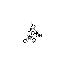 O=C(O)c1cc(S(=O)(=O)N(Cc2ccccn2)Cc2ccccn2)c(F)c(F)c1Nc1ccc(I)cc1